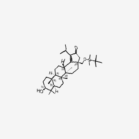 CC(C)C1=C2[C@H]3CC[C@@H]4[C@@]5(C)CC[C@H](O)C(C)(C)[C@@H]5CC[C@@]4(C)[C@]3(C)CC[C@@]2(CO[Si](C)(C)C(C)(C)C)CC1=O